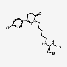 CC/N=C(\NC#N)NCCCCCN1N=C(c2ccc(Cl)cc2)CCC1=O